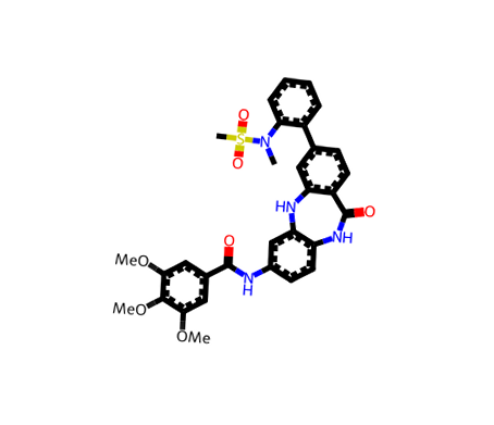 COc1cc(C(=O)Nc2ccc3c(c2)Nc2cc(-c4ccccc4N(C)S(C)(=O)=O)ccc2C(=O)N3)cc(OC)c1OC